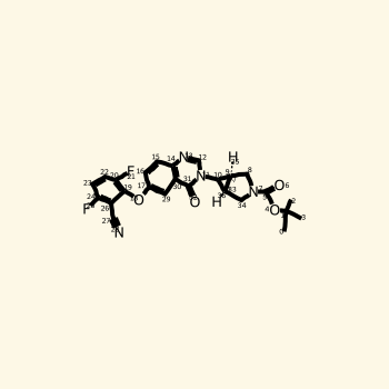 CC(C)(C)OC(=O)N1C[C@@H]2C(n3cnc4ccc(Oc5c(F)ccc(F)c5C#N)cc4c3=O)[C@@H]2C1